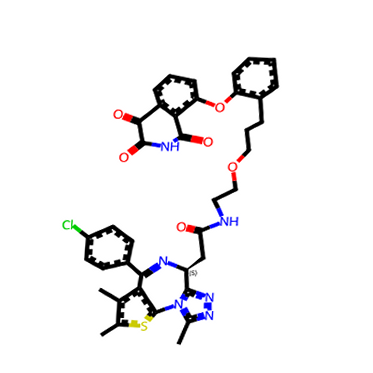 Cc1sc2c(c1C)C(c1ccc(Cl)cc1)=N[C@@H](CC(=O)NCCOCCCc1ccccc1Oc1cccc3c1C(=O)NC(=O)C3=O)c1nnc(C)n1-2